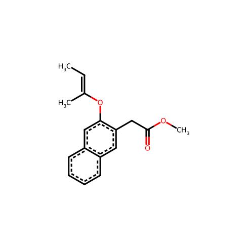 C/C=C(\C)Oc1cc2ccccc2cc1CC(=O)OC